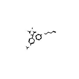 C=CCCCOc1cccc([C@@]2(C3C=CC(OC(F)F)=CC3)N=C(N)N(C)C2=O)c1